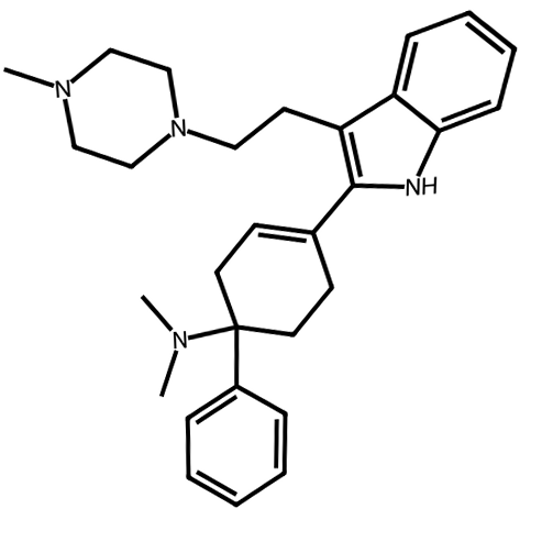 CN1CCN(CCc2c(C3=CCC(c4ccccc4)(N(C)C)CC3)[nH]c3ccccc23)CC1